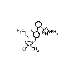 CCCCc1nc(Cl)c(C)n1Cc1ccc(-c2ccccc2-c2nnn(P)n2)c(I)c1